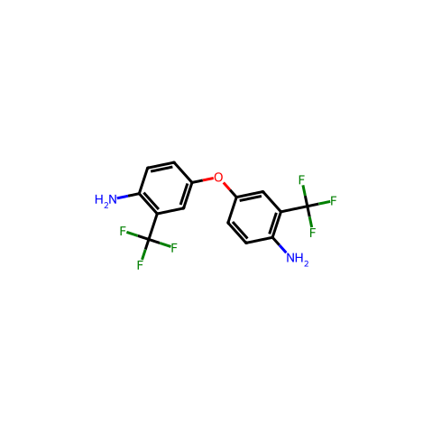 Nc1ccc(Oc2ccc(N)c(C(F)(F)F)c2)cc1C(F)(F)F